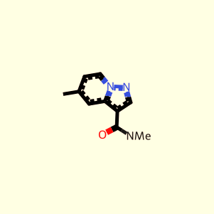 CNC(=O)c1cnn2ccc(C)cc12